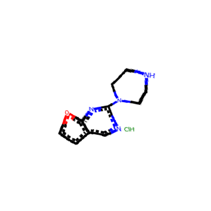 Cl.c1cc2cnc(N3CCNCC3)nc2o1